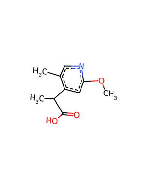 COc1cc(C(C)C(=O)O)c(C)cn1